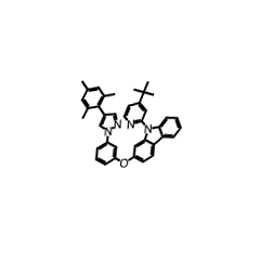 Cc1cc(C)c(-c2cnn(-c3cccc(Oc4ccc5c6ccccc6n(-c6cc(C(C)(C)C)ccn6)c5c4)c3)c2)c(C)c1